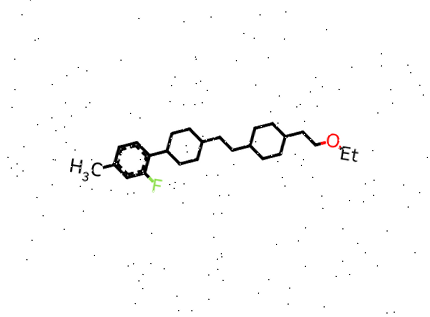 [CH2+][CH-]OCCC1CCC(CCC2CCC(c3ccc(C)cc3F)CC2)CC1